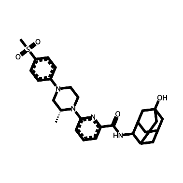 C[C@@H]1CN(c2ccc(S(C)(=O)=O)cc2)CCN1c1cccc(C(=O)NC2C3CC4CC2CC(O)(C4)C3)n1